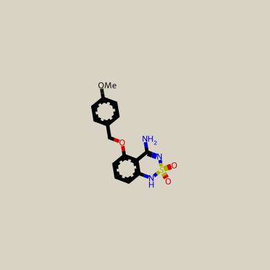 COc1ccc(COc2cccc3c2C(N)=NS(=O)(=O)N3)cc1